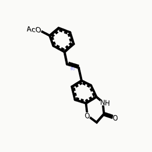 CC(=O)Oc1cccc(/C=C/c2ccc3c(c2)NC(=O)CO3)c1